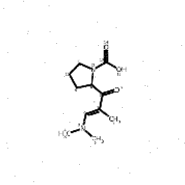 CC(=CN(C)C)C(=O)C1CCCN1C(=O)O